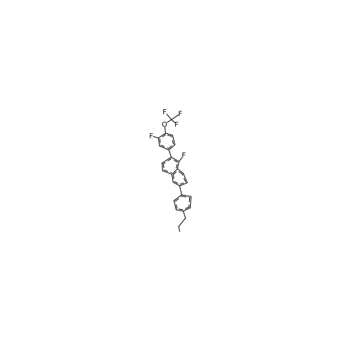 CCCc1ccc(-c2ccc3c(F)c(-c4ccc(OC(F)(F)F)c(F)c4)ccc3c2)cc1